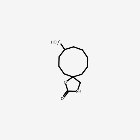 O=C1NCC2(CCCCCC(C(=O)O)CCC2)O1